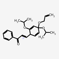 C=CCOC1(OC(C)C)C=CC(/C=C/C(=O)c2ccccc2)C(OC(C)C)=C1